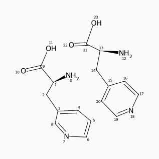 N[C@@H](Cc1cccnc1)C(=O)O.N[C@@H](Cc1ccncc1)C(=O)O